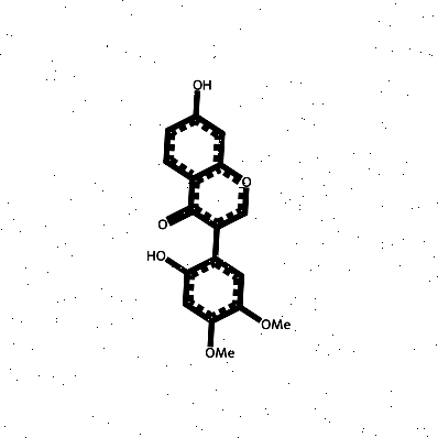 COc1cc(O)c(-c2coc3cc(O)ccc3c2=O)cc1OC